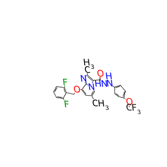 Cc1cc(OCc2c(F)cccc2F)c2nc(C)c(C(=O)NNc3ccc(OC(F)(F)F)cc3)n2c1